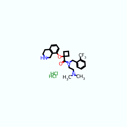 CN(C)CCN(Cc1ccccc1C(F)(F)F)C(=O)C1(Oc2cccc3c2CNCC3)CCC1.Cl.Cl